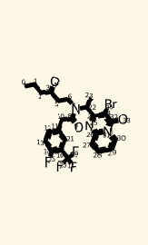 CCCC(=O)CCN(C(=O)Cc1ccc(F)c(C(F)(F)F)c1)C(C)c1nc2ccccn2c(=O)c1Br